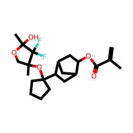 C=C(C)C(=O)OC1CC2CC1CC2C1(OC2(C)COC(C)(O)C2(F)F)CCCC1